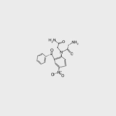 NCC(=O)N(CC(N)=O)c1ccc([N+](=O)[O-])cc1C(=O)c1ccccc1